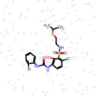 CC(C)OCCNS(=O)(=O)c1c(Cl)ccc(NC(=O)Nc2ccccc2Br)c1O